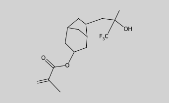 C=C(C)C(=O)OC1CC2CC(C1)C(CC(C)(O)C(F)(F)F)C2